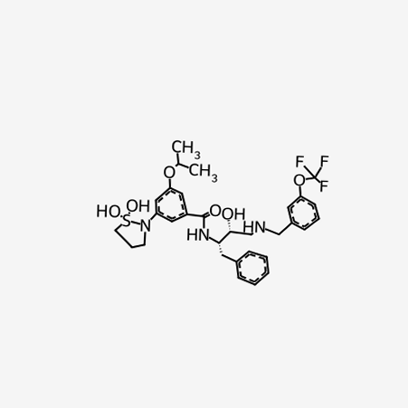 CC(C)Oc1cc(C(=O)N[C@@H](Cc2ccccc2)[C@H](O)CNCc2cccc(OC(F)(F)F)c2)cc(N2CCCS2(O)O)c1